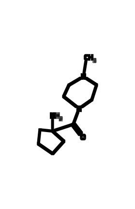 CN1CCN(C(=O)C2(N)CCCC2)CC1